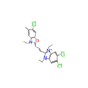 CCN1/C(=C/C=C/c2n(CC)c3cc(Cl)c(Cl)cc3[n+]2CC)Oc2cc(Cl)c(C)cc21